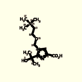 CC(C)(O)c1nc(C(=O)O)cn1COCC[Si](C)(C)C